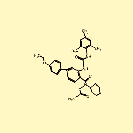 CCOc1ccc(-c2ccc(C(=O)N(OC(C)=O)C3CCCCC3)c(NC(=O)Nc3c(C)cc(C)cc3C)c2)cc1